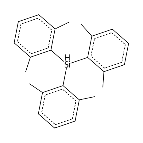 Cc1cccc(C)c1[SiH](c1c(C)cccc1C)c1c(C)cccc1C